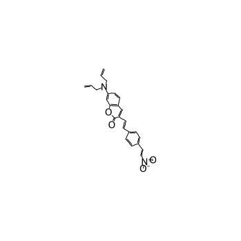 C=CCN(CC=C)c1ccc2cc(C=Cc3ccc(C=C[N+](=O)[O-])cc3)c(=O)oc2c1